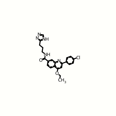 CCOc1cc(-c2ccc(Cl)cc2)nc2cc(C(=O)NCCCc3nnc[nH]3)ccc12